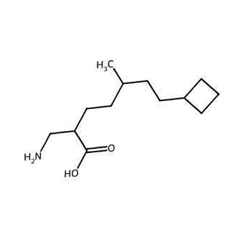 CC(CCC1CCC1)CCC(CN)C(=O)O